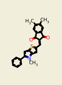 Cc1cc2c(cc1C)C(=O)C(=Cc1cc3c(cc(-c4ccccc4)n3C)s1)C2=O